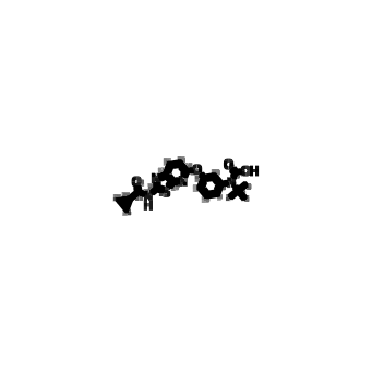 CC(C)(C)N(C(=O)O)c1cccc(Oc2ccc3nc(NC(=O)C4CC4)sc3n2)c1